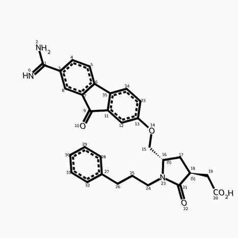 N=C(N)c1ccc2c(c1)C(=O)c1cc(OC[C@@H]3C[C@@H](CC(=O)O)C(=O)N3CCCc3ccccc3)ccc1-2